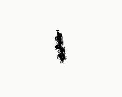 Fc1ccc2nc(-c3nnc(-c4cccc(-c5nnc(-c6cnc7cc(F)ccc7n6)o5)c4)o3)cnc2c1